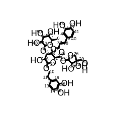 CC1OC(OC2C(O)C(OCCc3ccc(O)c(O)c3)OC(COC3OCC(O)(CO)C3O)C2OC(=O)C=Cc2ccc(O)c(O)c2)C(O)C(O)C1O